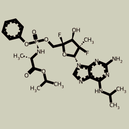 CC(C)Nc1nc(N)nc2c1ncn2[C@@H]1O[C@](F)(CO[P@@](=O)(N[C@@H](C)C(=O)OC(C)C)Oc2ccccc2)[C@@H](O)[C@@]1(C)F